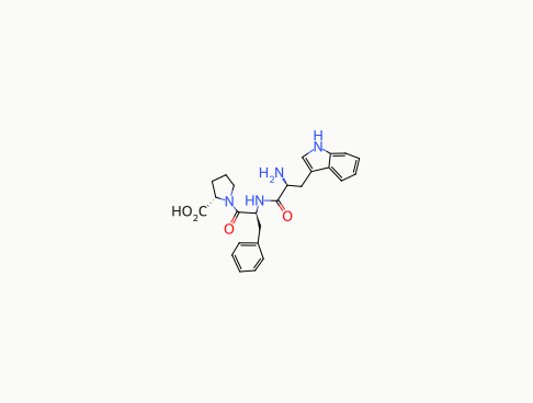 N[C@@H](Cc1c[nH]c2ccccc12)C(=O)N[C@@H](Cc1ccccc1)C(=O)N1CCC[C@H]1C(=O)O